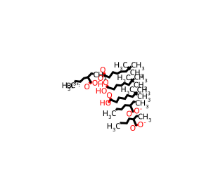 CC(C)(C)CCCCCC(=O)O.CC(C)(C)CCCCCC(=O)O.CC(C)(C)CCCCCC(=O)O.CCCCC(CC)C(=O)[O-].CCCCC(CC)C(=O)[O-].CCCCC(CC)C(=O)[O-].[Bi+3]